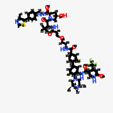 Cc1ncsc1-c1ccc(CNC(=O)[C@@H]2C[C@@H](O)CN2C(=O)C(NC(=O)CCOCCNC(=O)c2ccc(-c3ccc(N4C[C@@H](C)N(C)[C@@H](C)C4)c(NC(=O)c4c[nH]c(=O)cc4C(F)(F)F)c3)c(F)c2)C(C)(C)C)cc1